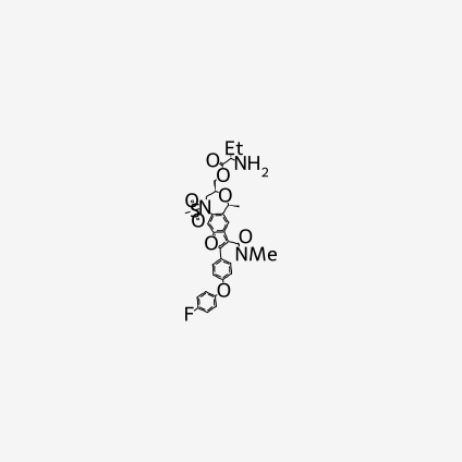 CC[C@H](N)C(=O)OC[C@@H]1CN(S(C)(=O)=O)c2cc3oc(-c4ccc(Oc5ccc(F)cc5)cc4)c(C(=O)NC)c3cc2[C@H](C)O1